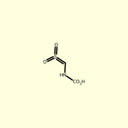 O=C(O)NC=S(=O)=O